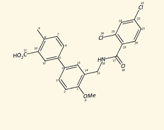 COc1ccc(-c2ccc(C)c(C(=O)O)c2)cc1CNC(=O)c1ccc(Cl)cc1Cl